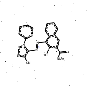 CNC(=O)c1cc2ccccc2c(/N=N/c2c(C#N)cnn2-c2ncccn2)c1O